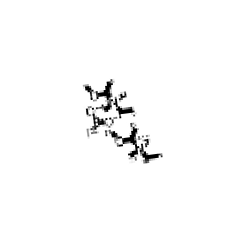 CC[N+](C)(C)C(C)OC.CC[N+](C)(C)C(C)OC.[O-]B([O-])F